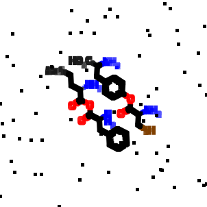 CSCC[C@H](N)C(=O)OC(=O)[C@@H](N)Cc1ccccc1.N[C@@H](Cc1ccc(OC(=O)[C@@H](N)CS)cc1)C(=O)O